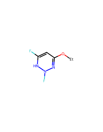 CCOC1=NN(F)NC(F)=C1